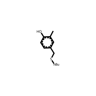 CCCCSCc1ccc(O)c(C)c1